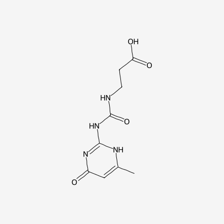 Cc1cc(=O)nc(NC(=O)NCCC(=O)O)[nH]1